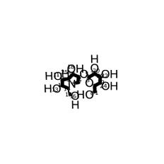 OCC1O[C@@H](O[C@H]2CN3[C@@H]([C@@H](O)[C@H](O)[C@@H]3CO)[C@@H]2O)[C@@H](O)C(O)[C@@H]1O